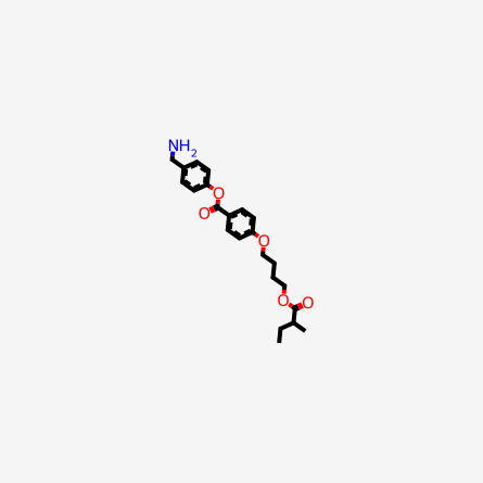 CCC(C)C(=O)OCCCCOc1ccc(C(=O)Oc2ccc(CN)cc2)cc1